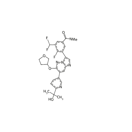 CNC(=O)c1cc(-c2cnc3cc(-c4ccc(C(C)(C)O)nc4)c(OC4CCOC4)nn23)c(F)c(C(F)F)c1